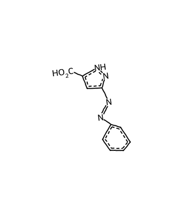 O=C(O)c1cc(N=Nc2ccccc2)n[nH]1